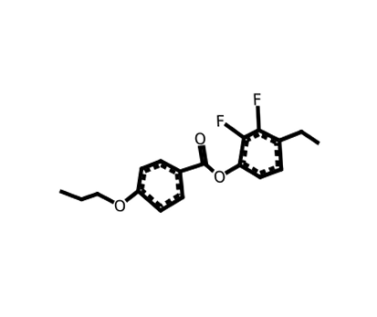 CCCOc1ccc(C(=O)Oc2ccc(CC)c(F)c2F)cc1